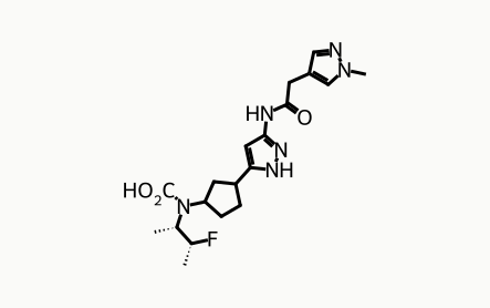 C[C@@H](F)[C@H](C)N(C(=O)O)C1CCC(c2cc(NC(=O)Cc3cnn(C)c3)n[nH]2)C1